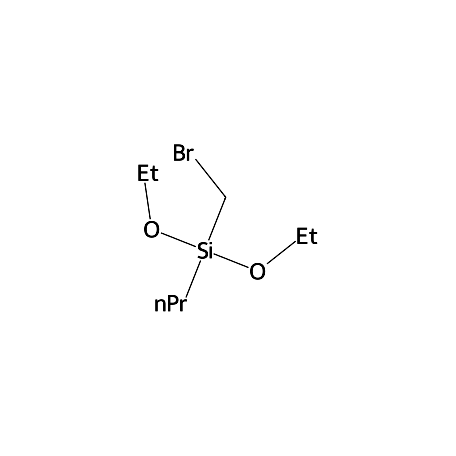 CCC[Si](CBr)(OCC)OCC